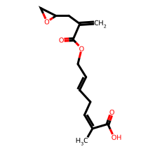 C=C(CC1CO1)C(=O)OCC=CCC=C(C)C(=O)O